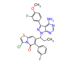 CCC(c1cc2scc(Cl)n2c(=O)c1-c1cccc(F)c1)n1nc(-c2ccc(OC)c(F)c2)c2c(N)ncnc21